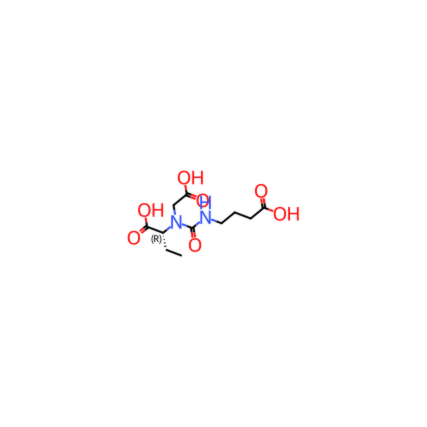 CC[C@H](C(=O)O)N(CC(=O)O)C(=O)NCCCC(=O)O